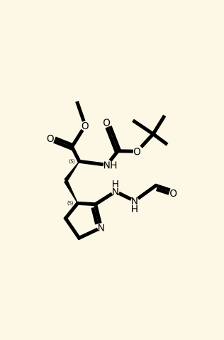 COC(=O)[C@H](C[C@@H]1CCN=C1NNC=O)NC(=O)OC(C)(C)C